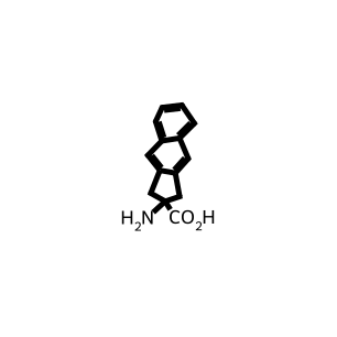 NC1(C(=O)O)Cc2cc3ccccc3cc2C1